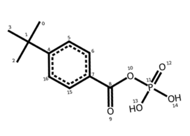 CC(C)(C)c1ccc(C(=O)OP(=O)(O)O)cc1